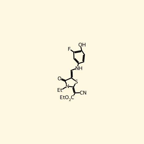 CCOC(=O)C(C#N)=c1sc(=CNc2ccc(O)c(F)c2)c(=O)n1CC